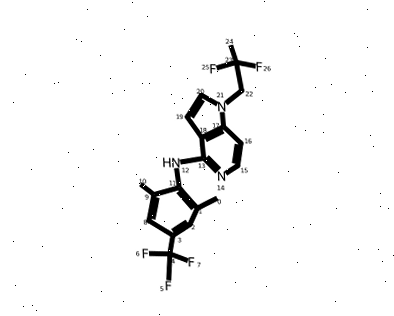 Cc1cc(C(F)(F)F)cc(C)c1Nc1nccc2c1ccn2CC(C)(F)F